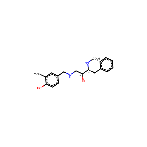 COc1cc(CNC[C@H](O)[C@H](Cc2ccccc2)NC(=O)O)ccc1O